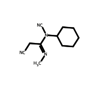 CN=C(CC#N)N(C#N)C1CCCCC1